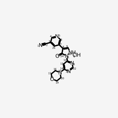 Cl.N#Cc1cncc(-c2c[nH]n(-c3cc(N4CCOCC4)ncn3)c2=O)c1